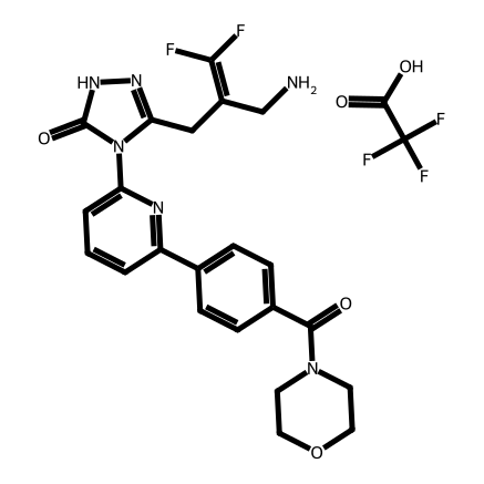 NCC(Cc1n[nH]c(=O)n1-c1cccc(-c2ccc(C(=O)N3CCOCC3)cc2)n1)=C(F)F.O=C(O)C(F)(F)F